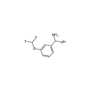 CCCC(N)c1cccc(OC(F)F)c1